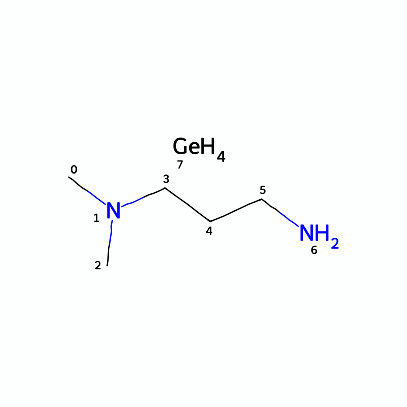 CN(C)CCCN.[GeH4]